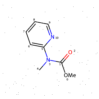 COC(=O)N(C)c1ccccn1